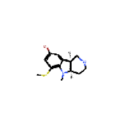 CSc1cc(Br)cc2c1N(C)[C@@H]1CCNC[C@H]21